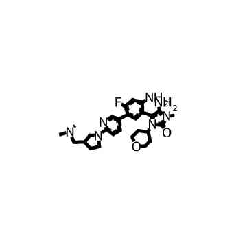 CN(C)CC1CCN(c2ccc(-c3cc(-c4c(N)n(C)c(=O)n4C4CCOCC4)c(N)cc3F)cn2)C1